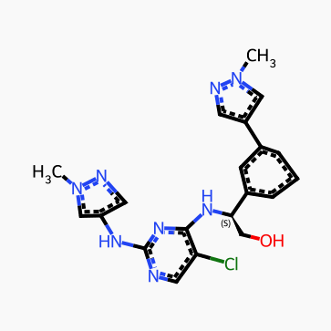 Cn1cc(Nc2ncc(Cl)c(N[C@H](CO)c3cccc(-c4cnn(C)c4)c3)n2)cn1